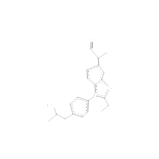 CCc1nc2cc(C(C)C=O)ccc2n1-c1ccc(CC(C)O)cc1